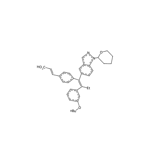 CCCCOc1cccc(/C(CC)=C(\c2ccc(C=CC(=O)O)cc2)c2ccc3c(cnn3C3CCCCO3)c2)c1